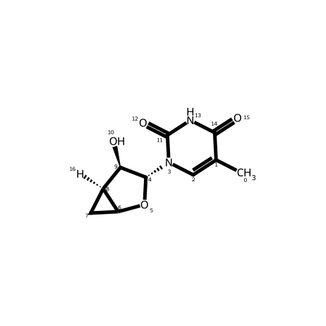 Cc1cn([C@@H]2OC3C[C@H]3[C@H]2O)c(=O)[nH]c1=O